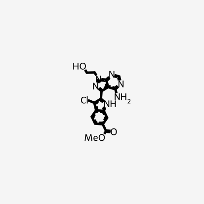 COC(=O)c1ccc2c(Cl)c(-c3nn(CCO)c4ncnc(N)c34)[nH]c2c1